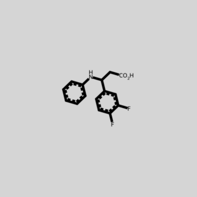 O=C(O)CC(Nc1ccccc1)c1ccc(F)c(F)c1